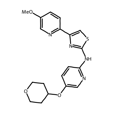 COc1ccc(-c2csc(Nc3ccc(OC4CCOCC4)cn3)n2)nc1